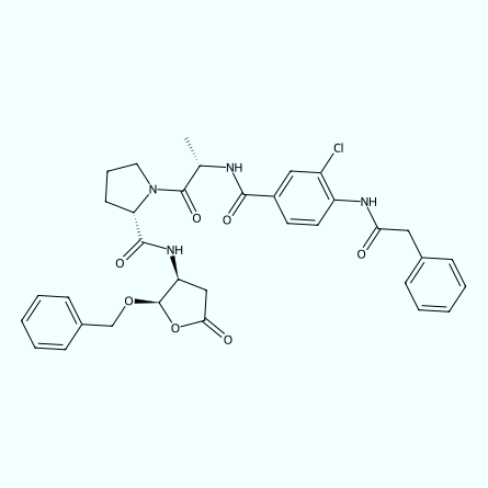 C[C@H](NC(=O)c1ccc(NC(=O)Cc2ccccc2)c(Cl)c1)C(=O)N1CCC[C@H]1C(=O)N[C@H]1CC(=O)O[C@H]1OCc1ccccc1